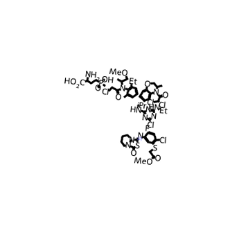 CC1COc2ccccc2N1C(=O)C(Cl)Cl.CCNc1nc(Cl)nc(NC(C)C)n1.CCc1cccc(C)c1N(C(=O)CCl)C(C)COC.COC(=O)CSc1cc(/N=c2\sc(=O)n3n2CCCC3)c(F)cc1Cl.CP(=O)(O)CCC(N)C(=O)O